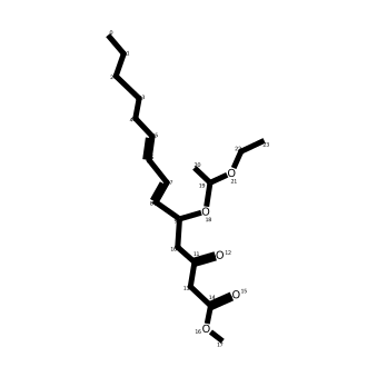 CCCCCC=CC=CC(CC(=O)CC(=O)OC)OC(C)OCC